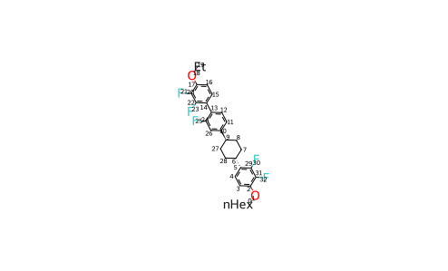 CCCCCCOc1ccc([C@H]2CC[C@H](c3ccc(-c4ccc(OCC)c(F)c4F)c(F)c3)CC2)c(F)c1F